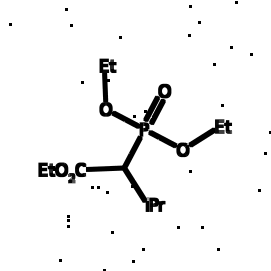 CCOC(=O)C(C(C)C)P(=O)(OCC)OCC